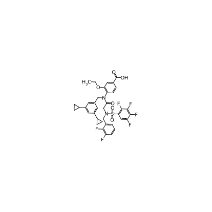 CCOc1cc(C(=O)O)ccc1N(Cc1cc(C2CC2)cc(C2CC2)c1)C(=O)CN(Cc1cccc(F)c1F)S(=O)(=O)c1cc(F)c(F)c(F)c1F